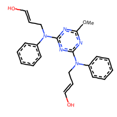 COc1nc(N(CC=CO)c2ccccc2)nc(N(CC=CO)c2ccccc2)n1